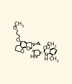 COCCCOc1cc(CN(C(=O)[C@H]2CNC[C@@H](C(=O)Nc3c(C)cccc3OC)C2)C2CC2)cc2c1CCCO2